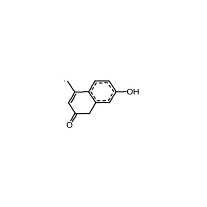 [CH2]C1=CC(=O)Cc2cc(O)ccc21